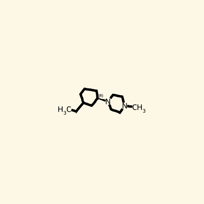 C[CH]C1CCC[C@@H](N2CCN(C)CC2)C1